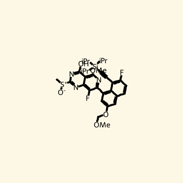 COCOc1cc(-c2nc(OC)c3c(O)nc([S+](C)[O-])nc3c2F)c2c(C#C[Si](C(C)C)(C(C)C)C(C)C)c(F)ccc2c1